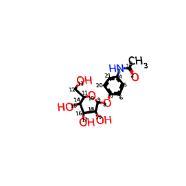 CC(=O)Nc1ccc(OC2OC(CO)C(O)C(O)C2O)cc1